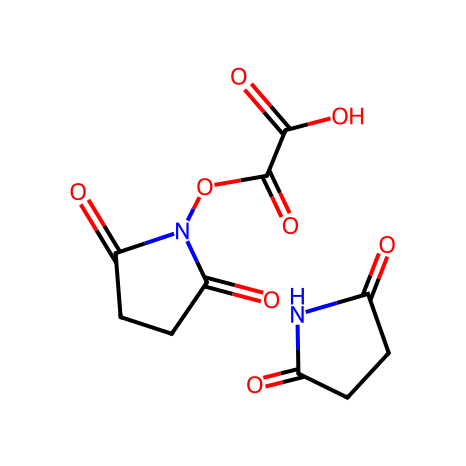 O=C(O)C(=O)ON1C(=O)CCC1=O.O=C1CCC(=O)N1